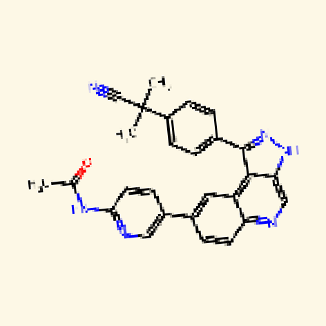 CC(=O)Nc1ccc(-c2ccc3ncc4[nH]nc(-c5ccc(C(C)(C)C#N)cc5)c4c3c2)cn1